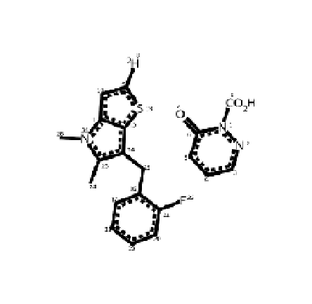 O=C(O)n1ncccc1=O.[2H]c1cc2c(s1)c(Cc1ccccc1F)c(C)n2C